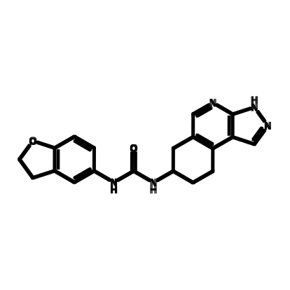 O=C(Nc1ccc2c(c1)CCO2)NC1CCc2c(cnc3[nH]ncc23)C1